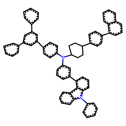 c1ccc(-c2cc(-c3ccccc3)cc(-c3ccc(N(c4cccc(-c5cccc6c5c5ccccc5n6-c5ccccc5)c4)C4CCC(c5ccc(-c6cccc7ccccc67)cc5)CC4)cc3)c2)cc1